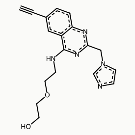 C#Cc1ccc2nc(Cn3ccnc3)nc(NCCOCCO)c2c1